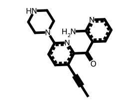 CC#Cc1ccc(N2CCNCC2)nc1C(=O)c1cccnc1N